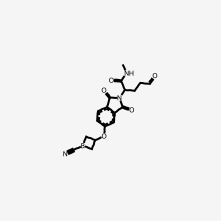 CNC(=O)C(CCC=O)N1C(=O)c2ccc(OC3CB(C#N)C3)cc2C1=O